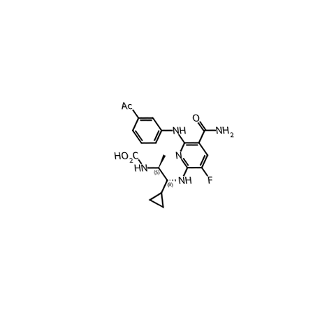 CC(=O)c1cccc(Nc2nc(N[C@H](C3CC3)[C@H](C)NC(=O)O)c(F)cc2C(N)=O)c1